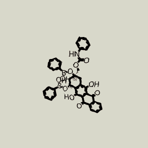 O=C(Nc1ccccc1)OC[C@]1(OB(O)c2ccccc2)Cc2c(O)c3c(c(O)c2[C@@H](OB(O)c2ccccc2)C1)C(=O)c1ccccc1C3=O